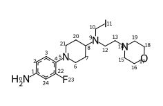 Nc1ccc(N2CCC(N(CI)CCN3CCOCC3)CC2)c(F)c1